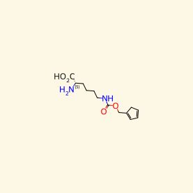 N[C@@H](CCCCNC(=O)OCC1=CC=CC1)C(=O)O